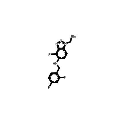 CC(C)(C)Cn1nnc2c(Br)c(NCc3ccc(F)cc3F)ccc21